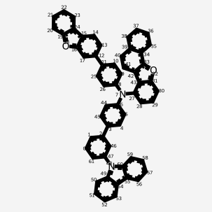 c1cc(-c2ccc(N(c3ccc(-c4ccc5c(c4)oc4ccccc45)cc3)c3cccc4oc5c6ccccc6ccc5c34)cc2)cc(-n2c3ccccc3c3ccccc32)c1